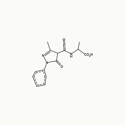 CC1=NN(c2ccccc2)C(=O)C1C(=O)NC(C)C(=O)O